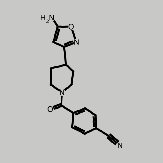 N#Cc1ccc(C(=O)N2CCC(c3cc(N)on3)CC2)cc1